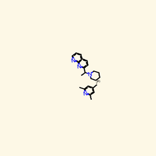 Cc1cc(C[C@H]2CCCN(C(C)c3ccc4cccnc4n3)C2)cc(C)n1